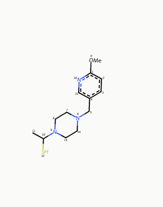 COc1ccc(CN2CCN(C(C)S)CC2)cn1